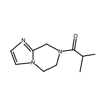 CC(C)C(=O)N1CCn2ccnc2C1